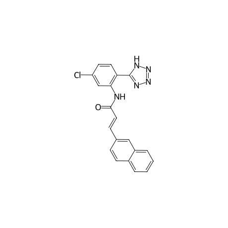 O=C(C=Cc1ccc2ccccc2c1)Nc1cc(Cl)ccc1-c1nnn[nH]1